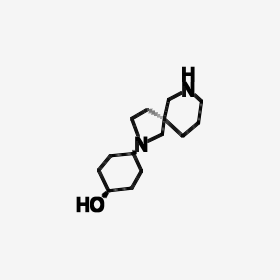 O[C@H]1CC[C@@H](N2CC[C@]3(CCCNC3)C2)CC1